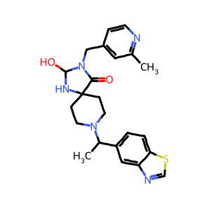 Cc1cc(CN2C(=O)C3(CCN(C(C)c4ccc5scnc5c4)CC3)NC2O)ccn1